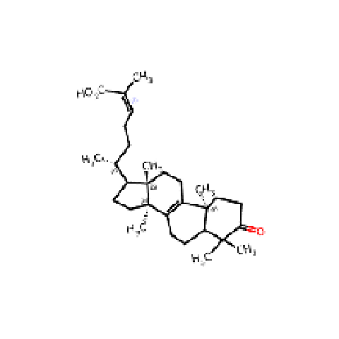 C/C(=C/CC[C@@H](C)C1CC[C@]2(C)C3=C(CC[C@@]12C)[C@@]1(C)CCC(=O)C(C)(C)C1CC3)C(=O)O